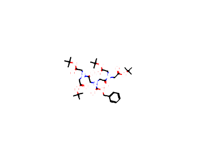 CC(C)(C)OC(=O)CN(CC(=O)OC(C)(C)C)C(=O)CN(CC(=O)N(CC(=O)OC(C)(C)C)CC(=O)OC(C)(C)C)C(=O)OCc1ccccc1